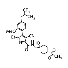 CCn1nc(C(=O)NC[C@]2(O)CC[C@@H](S(C)(=O)=O)CC2)c(C#N)c1-c1ccc(CC(C)C(F)(F)F)cc1OC